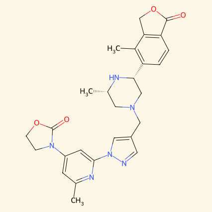 Cc1cc(N2CCOC2=O)cc(-n2cc(CN3C[C@@H](c4ccc5c(c4C)COC5=O)N[C@@H](C)C3)cn2)n1